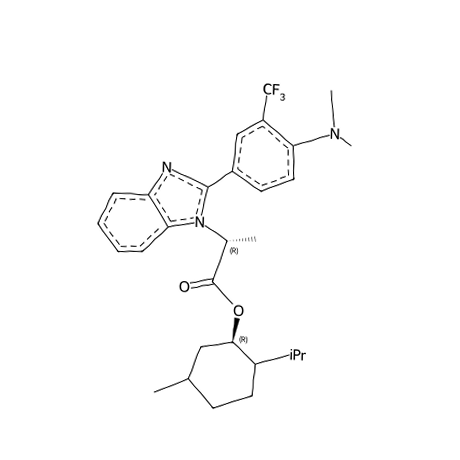 CC1CCC(C(C)C)[C@H](OC(=O)[C@@H](C)n2c(-c3ccc(N(C)C)c(C(F)(F)F)c3)nc3ccccc32)C1